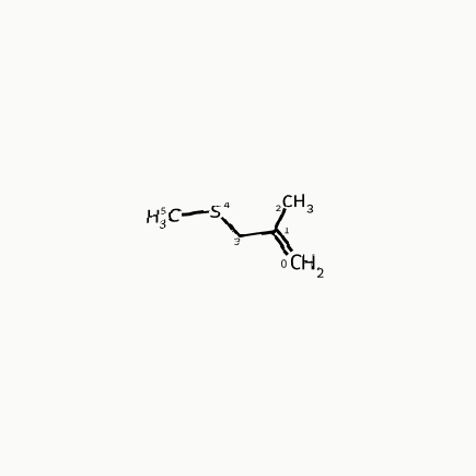 C=C(C)CSC